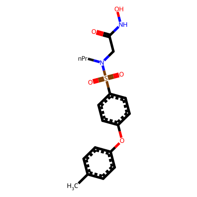 CCCN(CC(=O)NO)S(=O)(=O)c1ccc(Oc2ccc(C)cc2)cc1